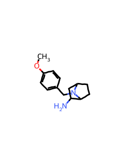 COc1ccc(CN2C3CCC2C(N)C3)cc1